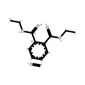 C=O.CCOC(=O)c1ccccc1C(=O)OCC